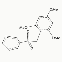 COc1cc(OC)c(CS(=O)(=O)c2ccccc2)c(OC)c1